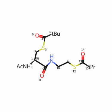 CC(=O)N[C@@H](CSC(=O)C(C)(C)C)C(=O)NCCSC(=O)C(C)C